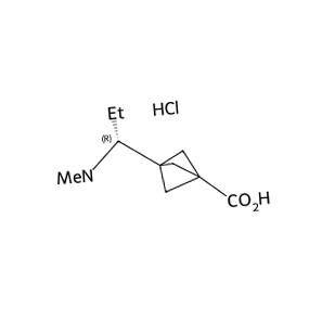 CC[C@@H](NC)C12CC(C(=O)O)(C1)C2.Cl